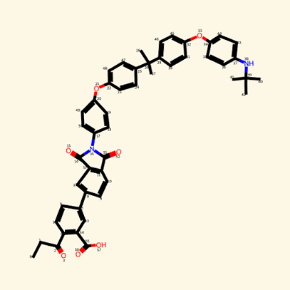 CCC(=O)c1ccc(-c2ccc3c(c2)C(=O)N(c2ccc(Oc4ccc(C(C)(C)c5ccc(Oc6ccc(NC(C)(C)C)cc6)cc5)cc4)cc2)C3=O)cc1C(=O)O